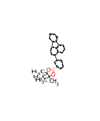 CC1(C)OB(c2cccc(-c3ccc4c5c(cccc35)-c3ccccc3-4)c2)OC1(C)C